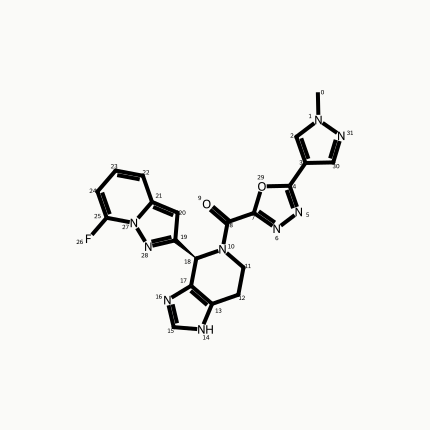 Cn1cc(-c2nnc(C(=O)N3CCc4[nH]cnc4[C@H]3c3cc4cccc(F)n4n3)o2)cn1